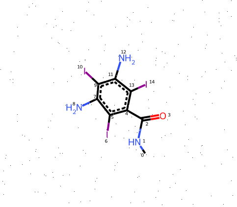 CNC(=O)c1c(I)c(N)c(I)c(N)c1I